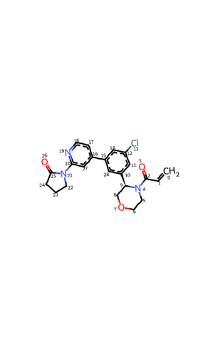 C=CC(=O)N1CCOC[C@H]1c1cc(Cl)cc(-c2ccnc(N3CCCC3=O)c2)c1